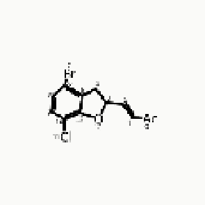 CC(=O)/C=C/C1Cc2c(Br)ccc(Cl)c2O1